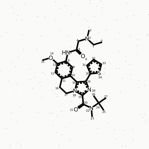 CCN(C)CC(=O)Nc1cc2c(cc1OC)CCn1c(C(=O)N(C)C(C)(C)C)nc(-c3cccs3)c1-2